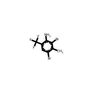 Cc1c(Br)cc(C(F)(F)F)c(N)c1Br